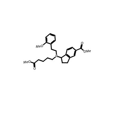 COC(=O)CCCCN(CCc1ccccc1OC)C1CCc2cc(C(=O)OC)ccc21